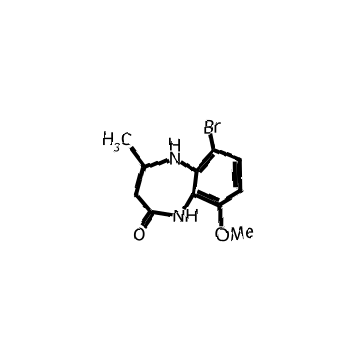 COc1ccc(Br)c2c1NC(=O)CC(C)N2